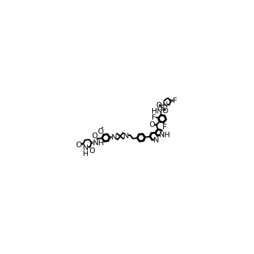 COc1cc(N2CC3(CN(CCc4ccc(-c5cnc6[nH]cc(C(=O)c7c(F)ccc(NS(=O)(=O)N8CC[C@@H](F)C8)c7F)c6c5)cc4)C3)C2)ccc1C(=O)N[C@H]1CCC(=O)NC1=O